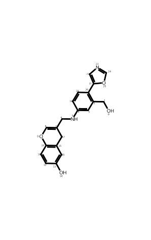 OCc1cc(NCC2=COc3ccc(O)cc3C2)ccc1-c1cnco1